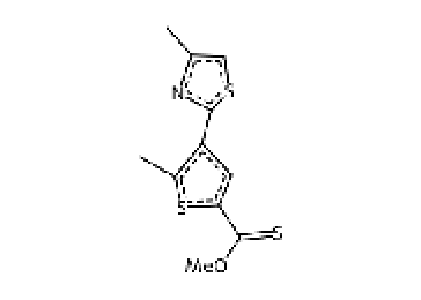 COC(=S)c1cc(-c2nc(C)cs2)c(C)s1